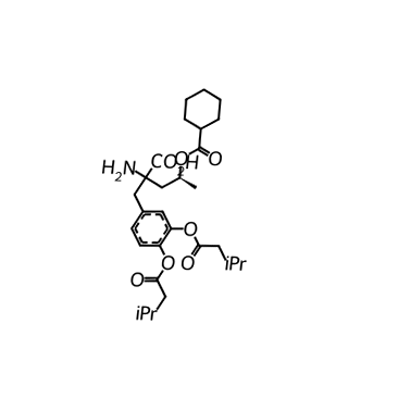 CC(C)CC(=O)Oc1ccc(CC(N)(C[C@H](C)OC(=O)C2CCCCC2)C(=O)O)cc1OC(=O)CC(C)C